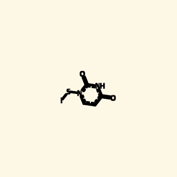 O=c1ccn(SI)c(=O)[nH]1